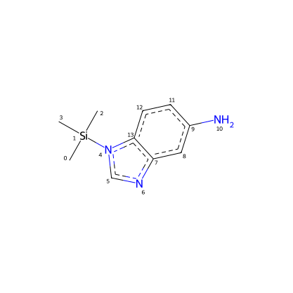 C[Si](C)(C)n1cnc2cc(N)ccc21